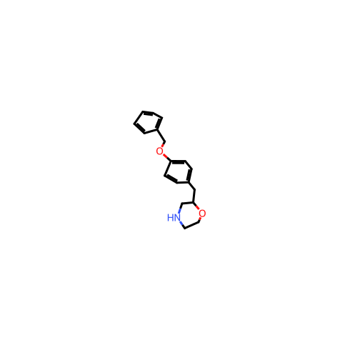 c1ccc(COc2ccc(CC3CNCCO3)cc2)cc1